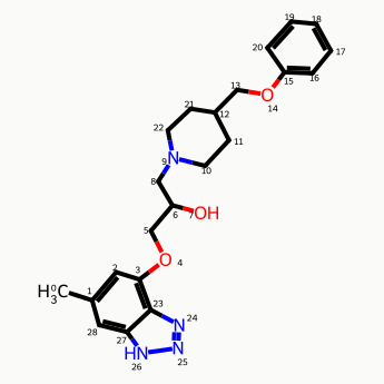 Cc1cc(OCC(O)CN2CCC(COc3ccccc3)CC2)c2nn[nH]c2c1